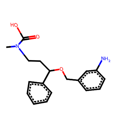 CN(CCC(OCc1cccc(N)c1)c1ccccc1)C(=O)O